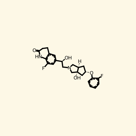 O=C1CCc2cc([C@@H](O)CN3C[C@H]4C[C@H](Oc5ccccc5F)C[C@@]4(O)C3)cc(F)c2N1